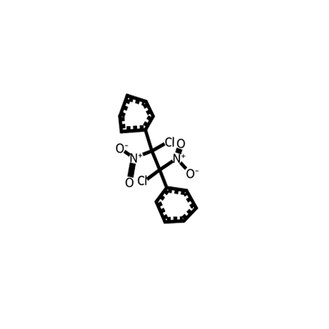 O=[N+]([O-])C(Cl)(c1ccccc1)C(Cl)(c1ccccc1)[N+](=O)[O-]